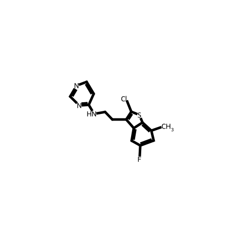 Cc1cc(F)cc2c(CCNc3ccncn3)c(Cl)sc12